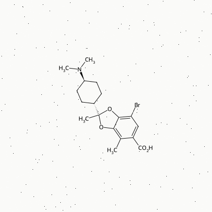 Cc1c(C(=O)O)cc(Br)c2c1OC(C)([C@H]1CC[C@H](N(C)C)CC1)O2